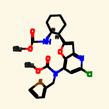 CC(C)(C)OC(=O)N[C@H]1CCCC[C@H]1c1cc2nc(Cl)cc(N(Cc3cccs3)C(=O)OC(C)(C)C)c2o1